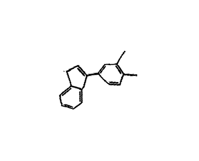 Cc1ccc(C2=C[CH]c3ccccc32)cc1C